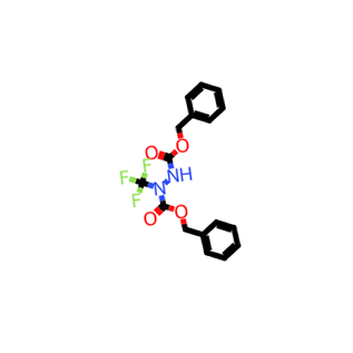 O=C(NN(C(=O)OCc1ccccc1)C(F)(F)F)OCc1ccccc1